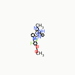 COCCOc1cc(F)c(Cn2nc(-c3nc4c(c(Nc5cc(C)ncc5C)n3)CCC4)c3ccccc32)c(F)c1